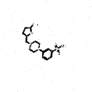 CS(=O)(=O)c1cccc(N2CCN(CC3CCC(C(F)(F)F)O3)CC2)c1